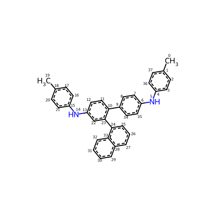 Cc1ccc(Nc2ccc(-c3ccc(Nc4ccc(C)cc4)cc3-c3cccc4ccccc34)cc2)cc1